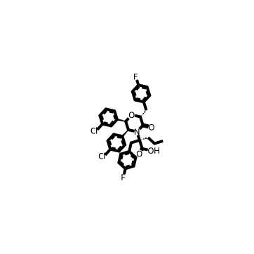 CCC[C@@](Cc1ccc(F)cc1)(C(=O)O)N1C(=O)[C@@H](Cc2ccc(F)cc2)O[C@H](c2cccc(Cl)c2)[C@@H]1c1ccc(Cl)cc1